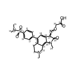 CN1CCc2c(-c3ccc(S(=O)(=O)N(C)C)cc3)cc3c(c2C1)N(C)C(=O)C3=NOCC(=O)O